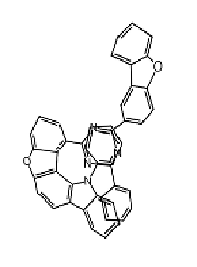 c1ccc(-c2nc(-c3ccc4oc5ccccc5c4c3)nc(-c3cccc4oc5ccc6c7ccccc7n(-c7ccccc7)c6c5c34)n2)cc1